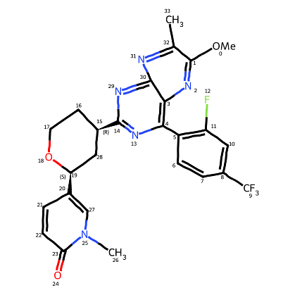 COc1nc2c(-c3ccc(C(F)(F)F)cc3F)nc([C@@H]3CCO[C@H](c4ccc(=O)n(C)c4)C3)nc2nc1C